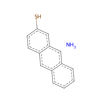 N.Sc1ccc2cc3ccccc3cc2c1